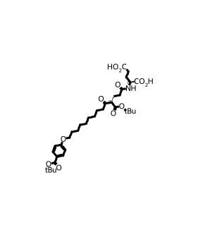 CC(C)(C)OC(=O)c1ccc(OCCCCCCCCCC(=O)[C@H](CCC(=O)N[C@@H](CCC(=O)O)C(=O)O)C(=O)OC(C)(C)C)cc1